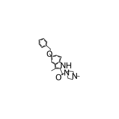 Cc1c(C(=O)N2CCN(C)CC2)[nH]c2ccc(OCc3ccccc3)cc12